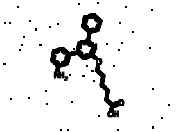 Nc1cccc(-c2cc(OCCCCCC(=O)O)nc(-c3ccccc3)c2)c1